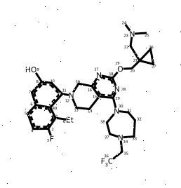 CCc1c(F)ccc2cc(O)cc(N3CCc4c(nc(OCC5(CN(C)C)CC5)nc4N4CCCN(CC(F)(F)F)CC4)C3)c12